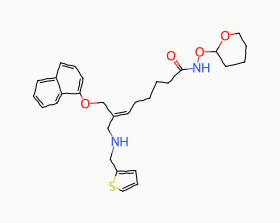 O=C(CCCC/C=C(/CNCc1cccs1)COc1cccc2ccccc12)NOC1CCCCO1